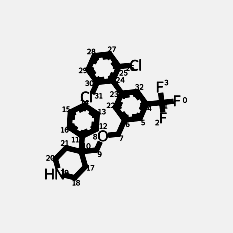 FC(F)(F)c1cc(COCC2(c3ccccc3)CCNCC2)cc(-c2c(Cl)cccc2Cl)c1